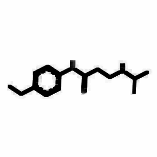 CCc1ccc(NC(=O)CCNC(C)C)cc1